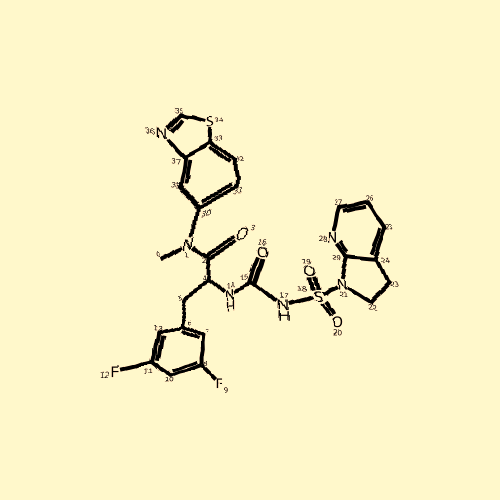 CN(C(=O)C(Cc1cc(F)cc(F)c1)NC(=O)NS(=O)(=O)N1CCc2cccnc21)c1ccc2scnc2c1